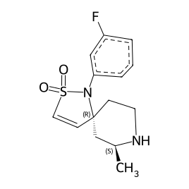 C[C@H]1C[C@@]2(C=CS(=O)(=O)N2c2cccc(F)c2)CCN1